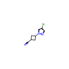 N#CC1CC(n2cc(Br)cn2)C1